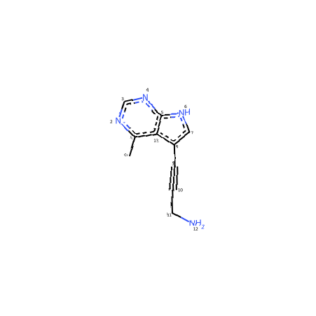 Cc1ncnc2[nH]cc(C#CCN)c12